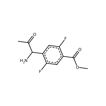 COC(=O)c1cc(F)c(C(N)C(C)=O)cc1F